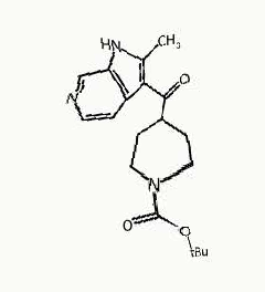 Cc1[nH]c2cnccc2c1C(=O)C1CCN(C(=O)OC(C)(C)C)CC1